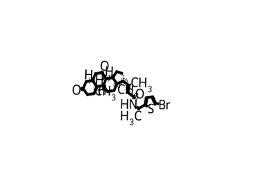 CC(NC(=O)C[C@@H](C)[C@H]1CC[C@H]2[C@@H]3C(=O)C[C@@H]4CC(=O)CC[C@]4(C)[C@H]3CC[C@]12C)c1ccc(Br)s1